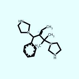 C/C=C(/C(c1ccccc1)N1CCNC1)C(C)(C)N1CCNC1